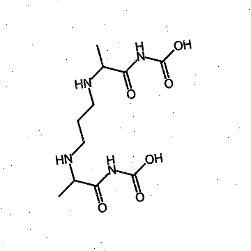 CC(NCCCNC(C)C(=O)NC(=O)O)C(=O)NC(=O)O